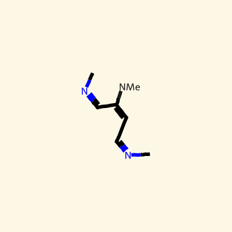 C\N=C/C=C(\C=N/C)NC